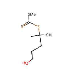 CSC(=S)SC(C)(C#N)CCCO